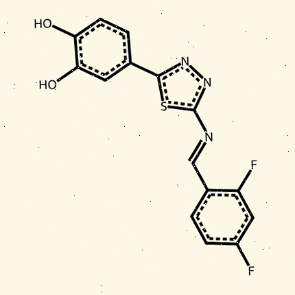 Oc1ccc(-c2nnc(N=Cc3ccc(F)cc3F)s2)cc1O